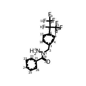 NN(Cc1ccc(C(F)(C(F)(F)F)C(F)(F)F)cc1)C(=O)c1ccccc1